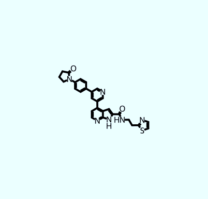 O=C(NCCc1nccs1)c1cc2c(-c3cncc(-c4ccc(N5CCCC5=O)cc4)c3)ccnc2[nH]1